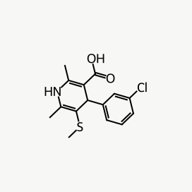 CSC1=C(C)NC(C)=C(C(=O)O)C1c1cccc(Cl)c1